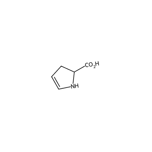 O=C(O)C1CC=CN1